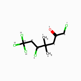 CC(C)(CC(=O)CCl)C(Cl)CC(Cl)(Cl)Cl